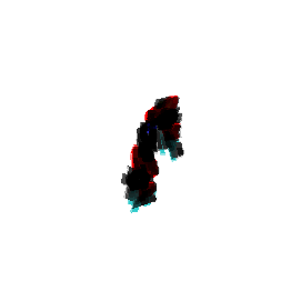 CC(C)(C1CCN(C(=O)c2cc(OC(F)F)ccc2S(C)(=O)=O)CC1)S(=O)(=O)c1cccc(OC(F)(F)F)c1